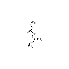 C=CCC(C)CNC(=O)OCC